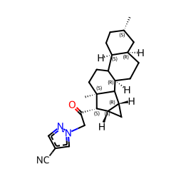 C[C@H]1CC[C@@H]2C3CC[C@@]4(C)C([C@@H]3CC[C@@H]2C1)[C@@H]1C[C@@H]1[C@@H]4C(=O)Cn1cc(C#N)cn1